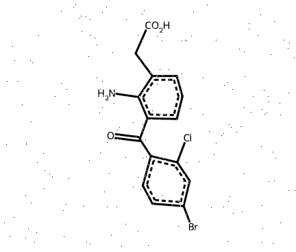 Nc1c(CC(=O)O)cccc1C(=O)c1ccc(Br)cc1Cl